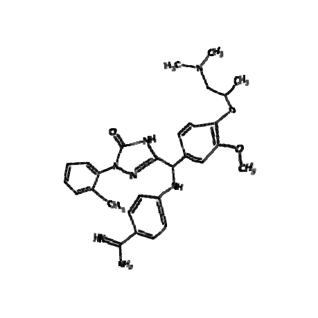 COc1cc(C(Nc2ccc(C(=N)N)cc2)c2nn(-c3ccccc3C)c(=O)[nH]2)ccc1OC(C)CN(C)C